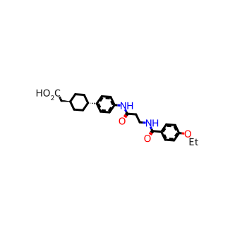 CCOc1ccc(C(=O)NCCC(=O)Nc2ccc([C@H]3CC[C@H](CC(=O)O)CC3)cc2)cc1